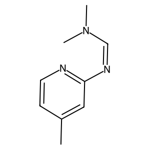 Cc1ccnc(/N=C\N(C)C)c1